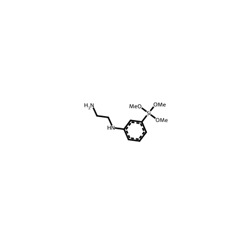 CO[Si](OC)(OC)c1cccc(NCCN)c1